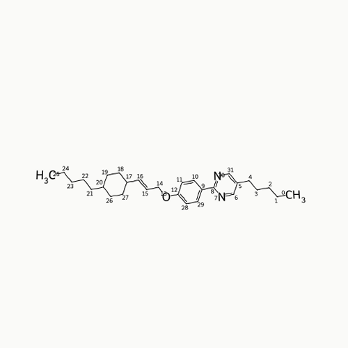 CCCCCc1cnc(-c2ccc(OC/C=C/C3CCC(CCCCC)CC3)cc2)nc1